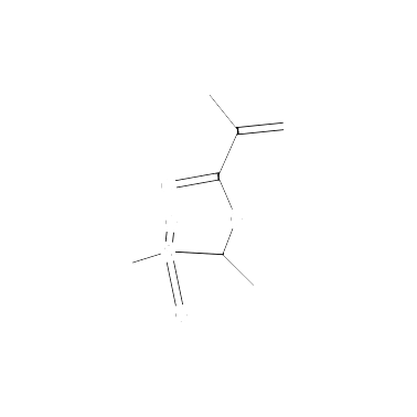 C=C(C)C(=O)OC(C)S(C)(=O)=O